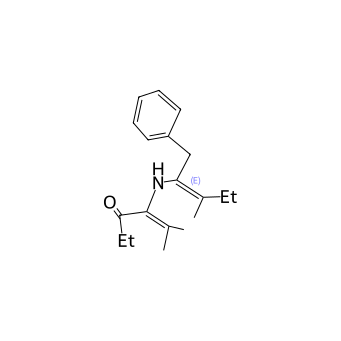 CCC(=O)C(N/C(Cc1ccccc1)=C(\C)CC)=C(C)C